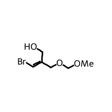 COCOCC(=CBr)CO